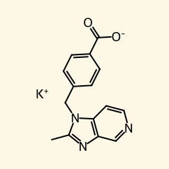 Cc1nc2cnccc2n1Cc1ccc(C(=O)[O-])cc1.[K+]